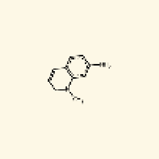 CN1CC=Cc2ccc(N)cc21